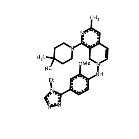 CCn1cnnc1-c1ccc(NN2C=Cc3cc(C)nc(N4CCC(C)(C#N)CC4)c3C2)c(OC)c1